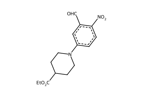 CCOC(=O)C1CCN(c2ccc([N+](=O)[O-])c(C=O)c2)CC1